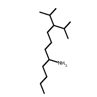 CCCCC(N)CCCC(C(C)C)C(C)C